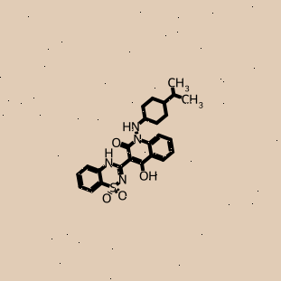 CC(C)C1CCC(Nn2c(=O)c(C3=NS(=O)(=O)c4ccccc4N3)c(O)c3ccccc32)CC1